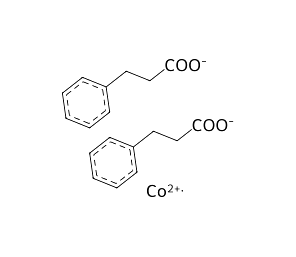 O=C([O-])CCc1ccccc1.O=C([O-])CCc1ccccc1.[Co+2]